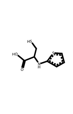 O=C(O)C(CS)Nc1cccs1